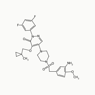 COc1ccc(CS(=O)(=O)N2CCN(c3cnn(-c4cc(F)cc(F)c4)c(=O)c3OCC3(C)CC3)CC2)cc1N